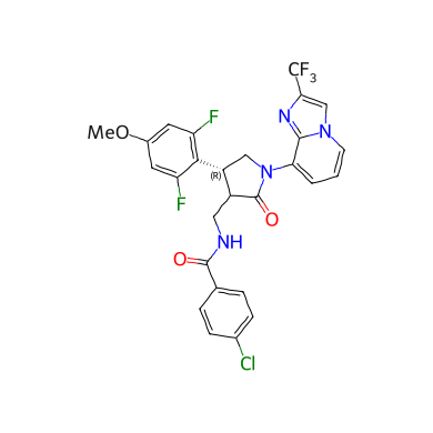 COc1cc(F)c([C@@H]2CN(c3cccn4cc(C(F)(F)F)nc34)C(=O)C2CNC(=O)c2ccc(Cl)cc2)c(F)c1